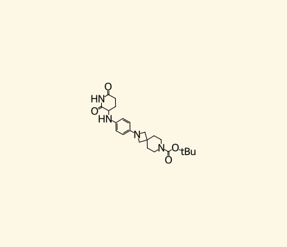 CC(C)(C)OC(=O)N1CCC2(CC1)CN(c1ccc(NC3CCC(=O)NC3=O)cc1)C2